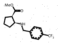 COC(=O)[C@@H]1CCC[C@@H]1NCc1ccc(C(F)(F)F)cc1